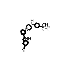 CC(C)C1CCC(NC2CCN(c3cccc(-c4cc5cc(C#N)ccc5[nH]4)c3)CC2)CC1